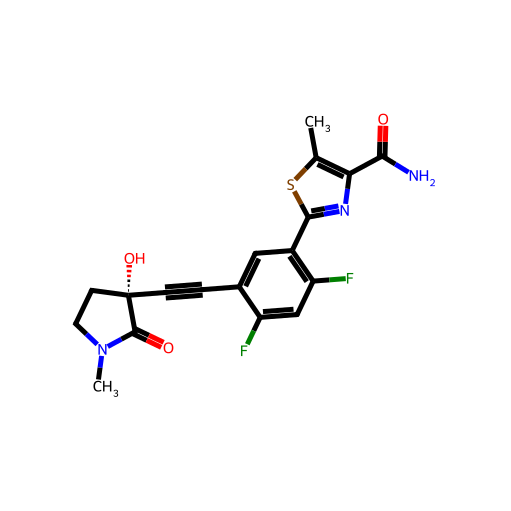 Cc1sc(-c2cc(C#C[C@]3(O)CCN(C)C3=O)c(F)cc2F)nc1C(N)=O